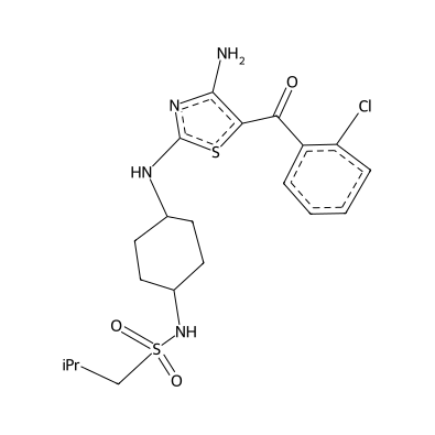 CC(C)CS(=O)(=O)NC1CCC(Nc2nc(N)c(C(=O)c3ccccc3Cl)s2)CC1